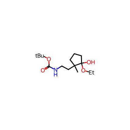 CCOC1(O)CCCC1(C)CCNC(=O)OC(C)(C)C